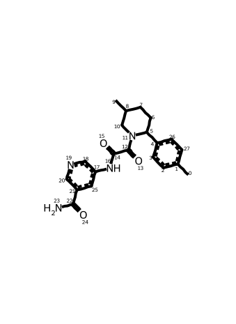 Cc1ccc(C2CCC(C)CN2C(=O)C(=O)Nc2cncc(C(N)=O)c2)cc1